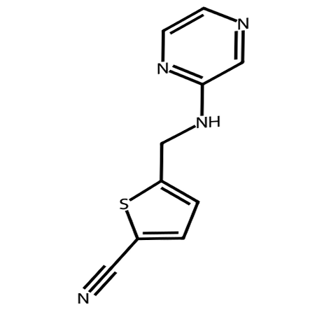 N#Cc1ccc(CNc2cnccn2)s1